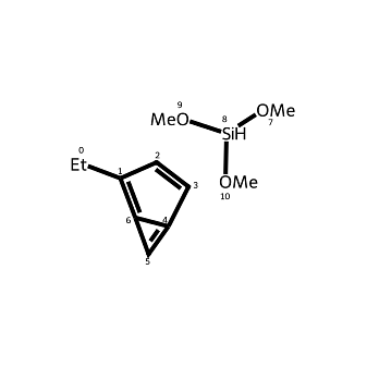 CCc1ccc2cc1-2.CO[SiH](OC)OC